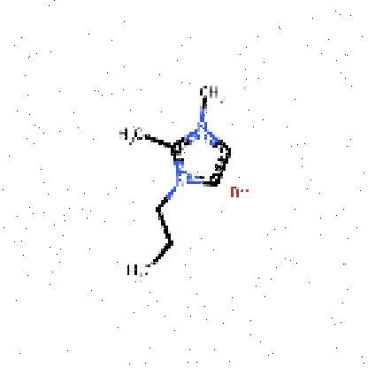 CCCn1cc[n+](C)c1C.[Br-]